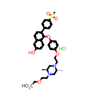 C[C@@H]1CN(CCOCC(=O)O)[C@@H](C)CN1CCOc1ccc(Oc2c(-c3ccc(S(C)(=O)=O)cc3)ccc3cc(O)ccc23)cc1.Cl